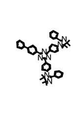 CC1(C)N=C(c2ccccc2)N(c2ccc(-c3nc(-c4ccc(-c5ccccc5)cc4)nc(-c4ccc(N5C(c6ccccc6)=NC(C)(C)C5(C)C)cc4)n3)cc2)C1(C)C